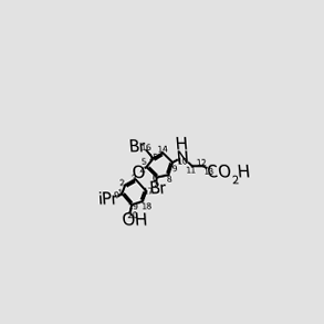 CC(C)c1cc(Oc2c(Br)cc(NCCC(=O)O)cc2Br)ccc1O